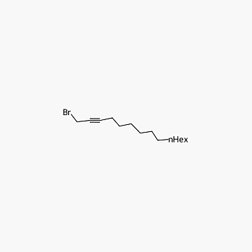 CCCCCCCCCCCCC#CCBr